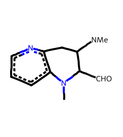 CNC1Cc2ncccc2N(C)C1C=O